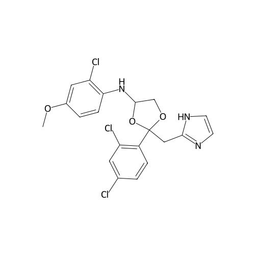 COc1ccc(NC2COC(Cc3ncc[nH]3)(c3ccc(Cl)cc3Cl)O2)c(Cl)c1